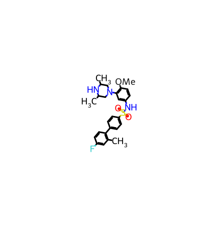 COc1ccc(NS(=O)(=O)c2ccc(-c3ccc(F)cc3C)cc2)cc1N1CC(C)NC(C)C1